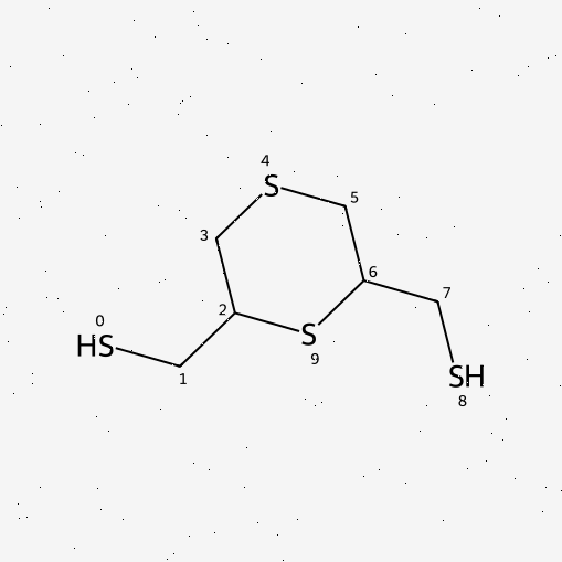 SCC1CSCC(CS)S1